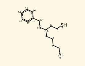 CC(=O)CCCCC(CCS)SCc1ccccc1